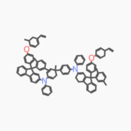 C=CC1=CC=C(Oc2ccc(C3(c4cc(C)ccc4C)c4ccccc4-c4ccc(N(C5=CCC(C)(c6ccc(N(C7=CC8=C(CC7)c7ccccc7C8(c7ccc(OC8=CCC(C=C)C=C8)cc7)c7cc(C)ccc7C)c7ccccc7)cc6)C=C5)c5ccccc5)cc43)cc2)C(C)C1